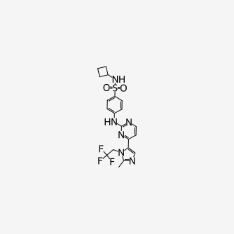 Cc1ncc(-c2ccnc(Nc3ccc(S(=O)(=O)NC4CCC4)cc3)n2)n1CC(F)(F)F